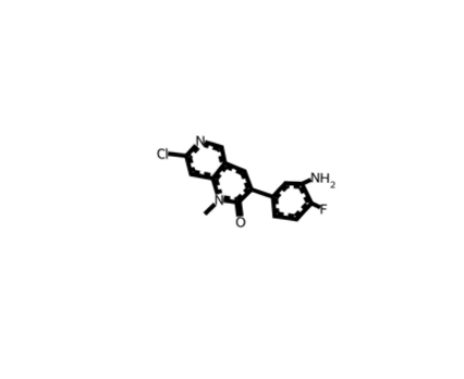 Cn1c(=O)c(-c2ccc(F)c(N)c2)cc2cnc(Cl)cc21